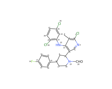 Cc1c(Cl)ncc(C2CC(c3ccc(F)cc3)CCN2C=O)c1Nc1cc(Cl)ccc1Cl